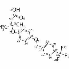 CC(C)(CC(=O)O)Oc1ccc(OCc2ccc(C(F)(F)F)cc2)cc1